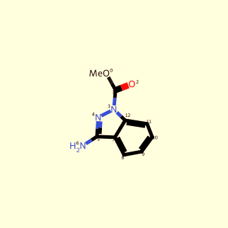 COC(=O)n1nc(N)c2ccccc21